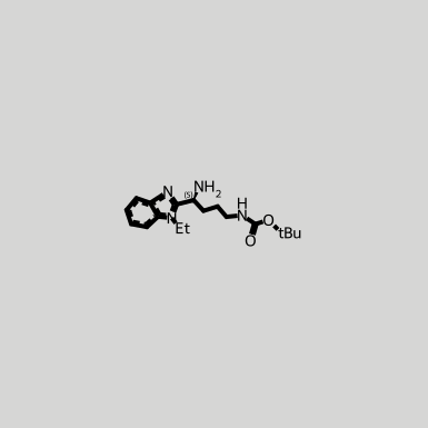 CCn1c([C@@H](N)CCCNC(=O)OC(C)(C)C)nc2ccccc21